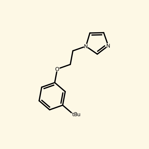 CC(C)(C)c1cccc(OCCn2ccnc2)c1